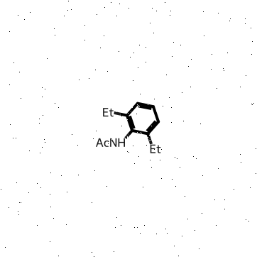 [CH2]C(=O)Nc1c(CC)cccc1CC